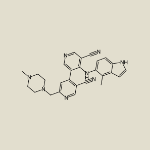 Cc1c(Nc2c(C#N)cncc2-c2cc(CN3CCN(C)CC3)ncc2C#N)ccc2[nH]ccc12